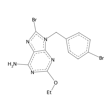 CCOc1nc(N)c2nc(Br)n(Cc3ccc(Br)cc3)c2n1